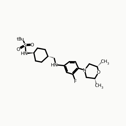 C[C@@H]1CN(c2ccc(NC[C@H]3CC[C@H](NS(=O)(=O)C(C)(C)C)CC3)cc2F)C[C@H](C)O1